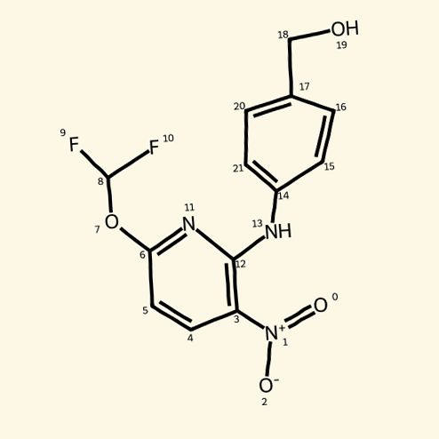 O=[N+]([O-])c1ccc(OC(F)F)nc1Nc1ccc(CO)cc1